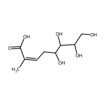 CC(=CCC(O)C(O)C(O)CO)C(=O)O